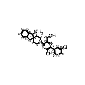 Cc1nc(N2CCC3(CC2)Cc2ccccc2[C@H]3N)c(CO)nc1-c1cncc(Cl)c1